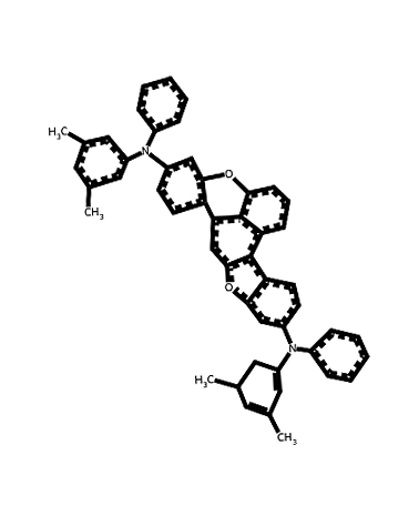 CC1=CC(C)CC(N(c2ccccc2)c2ccc3c(c2)oc2cc4c5c(cccc5c23)Oc2cc(N(c3ccccc3)c3cc(C)cc(C)c3)ccc2-4)=C1